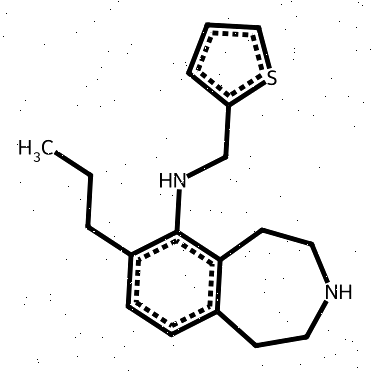 CCCc1ccc2c(c1NCc1cccs1)CCNCC2